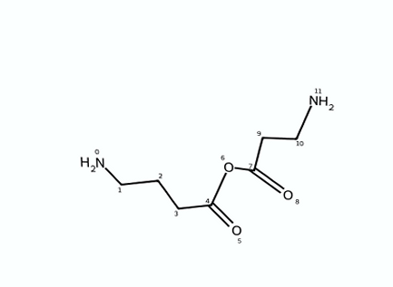 NCCCC(=O)OC(=O)CCN